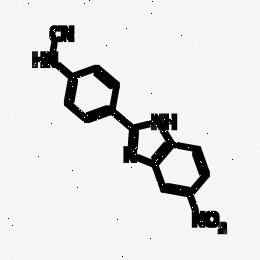 N#CNc1ccc(-c2nc3cc([N+](=O)[O-])ccc3[nH]2)cc1